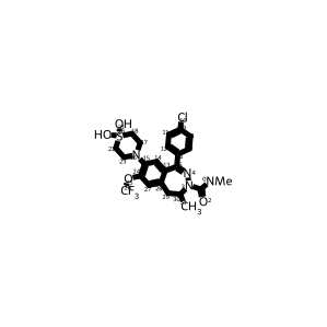 CNC(=O)N1N=C(c2ccc(Cl)cc2)c2cc(N3CCS(O)(O)CC3)c(OC(F)(F)F)cc2CC1C